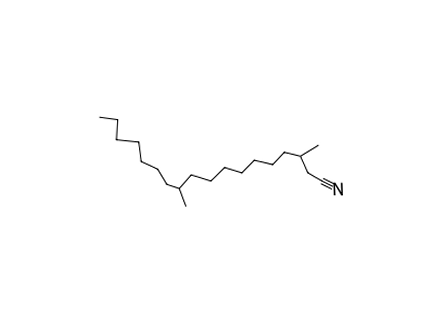 CCCCCCCC(C)CCCCCCCC(C)CC#N